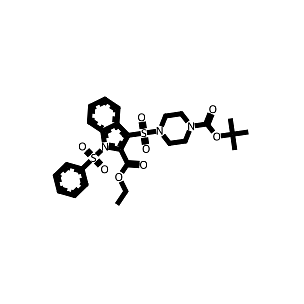 CCOC(=O)c1c(S(=O)(=O)N2CCN(C(=O)OC(C)(C)C)CC2)c2ccccc2n1S(=O)(=O)c1ccccc1